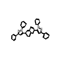 c1ccc(-c2cc(-c3ccc4cc(-c5cc(-c6ccccc6)nn5-c5ccccc5)ccc4c3)n(-c3ccccc3)n2)cc1